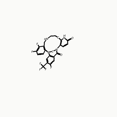 O=C1c2cc(F)c(C(F)(F)F)cc2N2CN1c1ccc(=O)[nH]c1CCCNCc1c2ccc(F)c1F